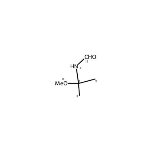 COC(C)(C)NC=O